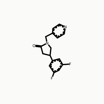 O=C1CC(c2cc(F)cc(F)c2)CN1Cc1ccncc1